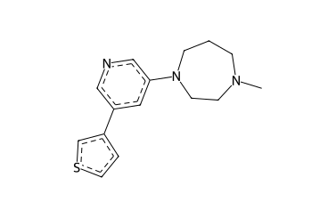 CN1CCCN(c2cncc(-c3ccsc3)c2)CC1